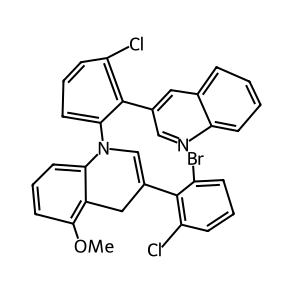 COc1cccc2c1CC(c1c(Cl)cccc1Br)=CN2c1cccc(Cl)c1-c1cnc2ccccc2c1